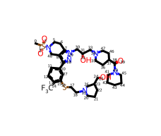 CS(=O)(=O)N1CCc2c(c(-c3ccc(C(F)(F)F)c(SCCN4CCCC(CO)C4)c3)nn2CC(O)CN2CCC(C(=O)N3CCCCC3)CC2)C1